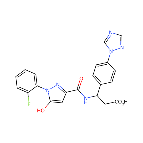 O=C(O)CC(NC(=O)c1cc(O)n(-c2ccccc2F)n1)c1ccc(-n2cncn2)cc1